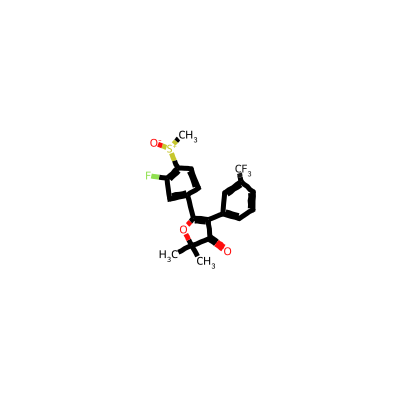 C[S+]([O-])c1ccc(C2=C(c3cccc(C(F)(F)F)c3)C(=O)C(C)(C)O2)cc1F